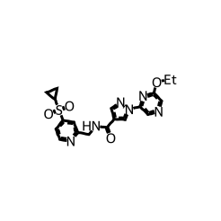 CCOc1cncc(-n2cc(C(=O)NCc3cc(S(=O)(=O)C4CC4)ccn3)cn2)n1